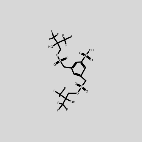 O=S(=O)(Cc1cc(CS(=O)(=O)OCC(O)(C(F)(F)F)C(F)(F)F)cc(S(=O)(=O)O)c1)OCC(O)(C(F)(F)F)C(F)(F)F